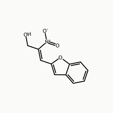 O=[N+]([O-])C(=Cc1cc2ccccc2o1)CO